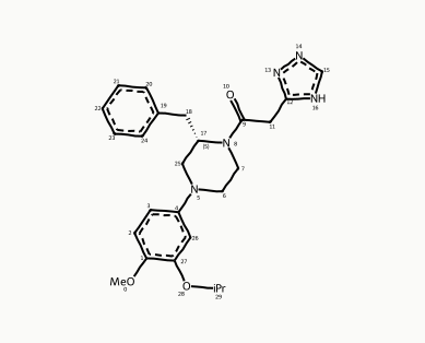 COc1ccc(N2CCN(C(=O)Cc3nnc[nH]3)[C@@H](Cc3ccccc3)C2)cc1OC(C)C